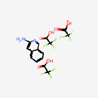 Nc1cc2ccccc2cn1.O=C(O)C(F)(F)F.O=C(O)C(F)(F)F.O=C(O)C(F)(F)F